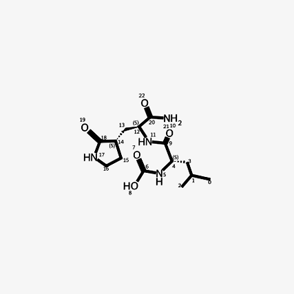 CC(C)C[C@H](NC(=O)O)C(=O)N[C@@H](C[C@@H]1CCNC1=O)C(N)=O